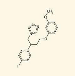 COc1cccc(OCCC(Cn2ccnc2)c2ccc(F)cc2)c1